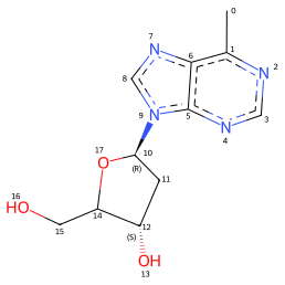 Cc1ncnc2c1ncn2[C@H]1C[C@H](O)C(CO)O1